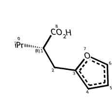 CC(C)[C@@H](Cc1ccco1)C(=O)O